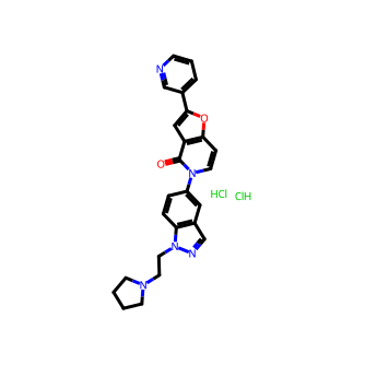 Cl.Cl.O=c1c2cc(-c3cccnc3)oc2ccn1-c1ccc2c(cnn2CCN2CCCC2)c1